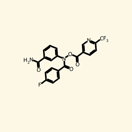 NC(=O)c1cccc(N(OC(=O)c2ccc(C(F)(F)F)nc2)C(=O)c2ccc(F)cc2)c1